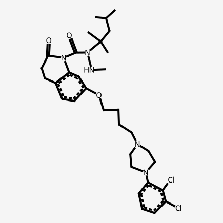 CNN(C(=O)N1C(=O)CCc2ccc(OCCCCN3CCN(c4cccc(Cl)c4Cl)CC3)cc21)C(C)(C)CC(C)C